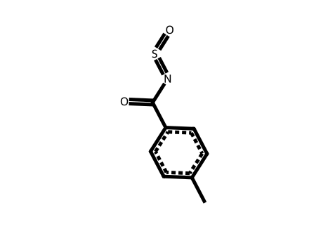 Cc1ccc(C(=O)N=S=O)cc1